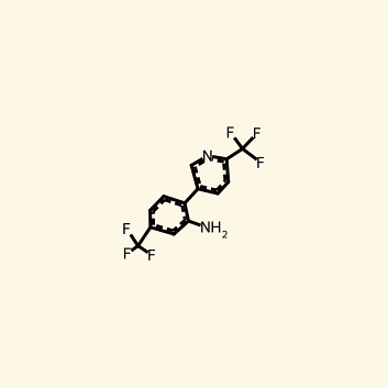 Nc1cc(C(F)(F)F)ccc1-c1ccc(C(F)(F)F)nc1